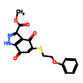 COC(=O)c1n[nH]c2c1C(=O)C(SCCOc1ccccc1)=CC2=O